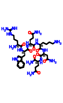 N=C(N)NCCC[C@H](N)C(=O)N[C@@H](Cc1c[nH]c2ccccc12)C(=O)N[C@@H](CCC(N)=O)C(=O)N[C@@H](CCCCN)C(=O)N[C@@H](CC(N)=O)C(=O)N[C@@H](CCC(N)=O)C(N)=O